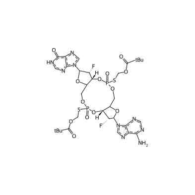 CC(C)(C)C(=O)OCSP1(=O)OCC2OC(n3cnc4c(=O)[nH]cnc43)[C@H](F)[C@@H]2OP(=O)(SCOC(=O)C(C)(C)C)OCC2OC(n3cnc4c(N)ncnc43)[C@H](F)[C@@H]2O1